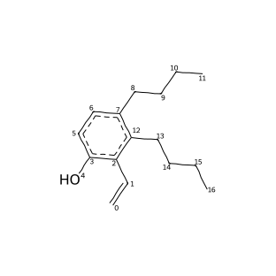 C=Cc1c(O)ccc(CCCC)c1CCCC